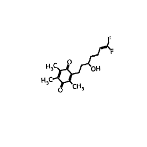 CC1=C(C)C(=O)C(CCC(O)CCC=C(F)F)=C(C)C1=O